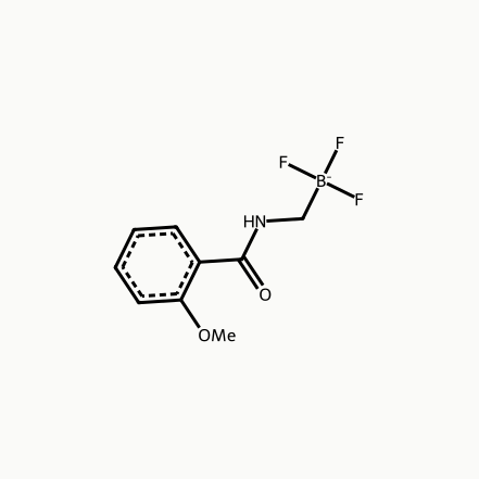 COc1ccccc1C(=O)NC[B-](F)(F)F